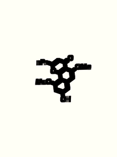 CCCc1cc(=O)c2c(OC)cc3cc(O)cc(OC)c3c2o1